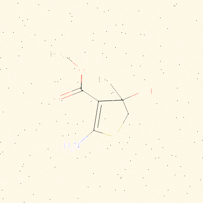 COC(=O)C1=C(N)SCC1(C)O